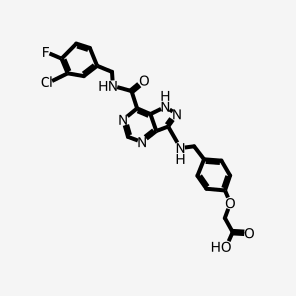 O=C(O)COc1ccc(CNc2n[nH]c3c(C(=O)NCc4ccc(F)c(Cl)c4)ncnc23)cc1